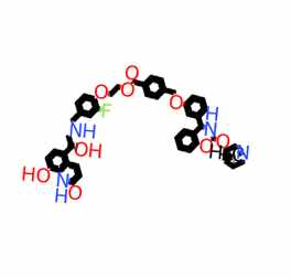 O=C(NC(c1ccccc1)c1cccc(OCc2ccc(C(=O)OCCOc3ccc(CNC[C@H](O)c4ccc(O)c5[nH]c(=O)ccc45)cc3F)cc2)c1)O[C@H]1CN2CCC1CC2